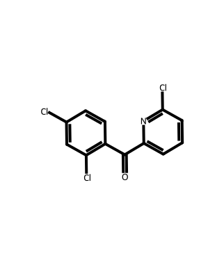 O=C(c1cccc(Cl)n1)c1ccc(Cl)cc1Cl